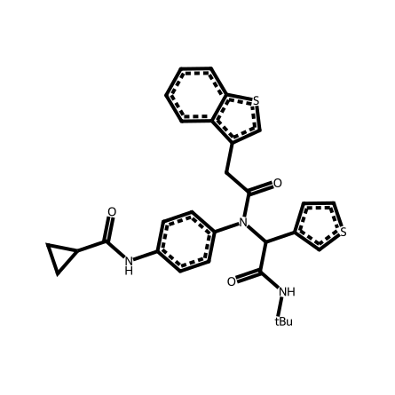 CC(C)(C)NC(=O)C(c1ccsc1)N(C(=O)Cc1csc2ccccc12)c1ccc(NC(=O)C2CC2)cc1